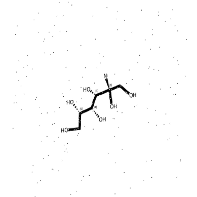 [N][C@](O)(CO)[C@@H](O)[C@H](O)[C@@H](O)CO